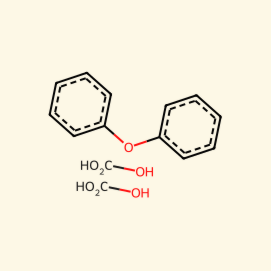 O=C(O)O.O=C(O)O.c1ccc(Oc2ccccc2)cc1